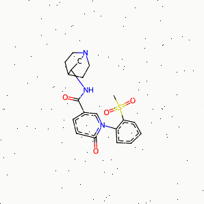 CS(=O)(=O)c1ccccc1-n1cc(C(=O)NC2CN3CCC2CC3)ccc1=O